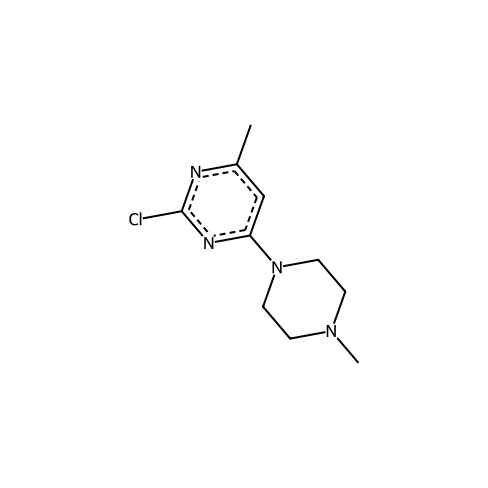 Cc1cc(N2CCN(C)CC2)nc(Cl)n1